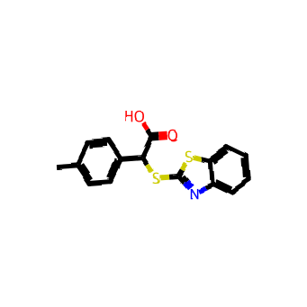 Cc1ccc(C(Sc2nc3ccccc3s2)C(=O)O)cc1